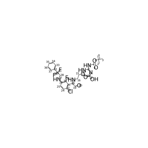 CC(C)(C)OC(=O)NC(=NC(=O)O)NOCCNC(C=O)c1c(Cl)ccc(NCC(F)(F)c2ccccc2)c1F